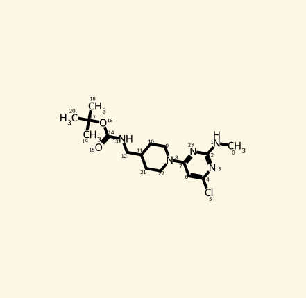 CNc1nc(Cl)cc(N2CCC(CNC(=O)OC(C)(C)C)CC2)n1